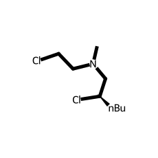 CCCC[C@@H](Cl)CN(C)CCCl